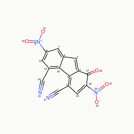 N#CC1=C2C(=Cc3cc([N+](=O)[O-])cc(C#N)c32)C(=O)C([N+](=O)[O-])=C1